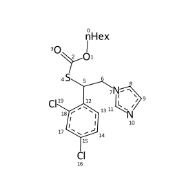 CCCCCCOC(=O)SC(Cn1ccnc1)c1ccc(Cl)cc1Cl